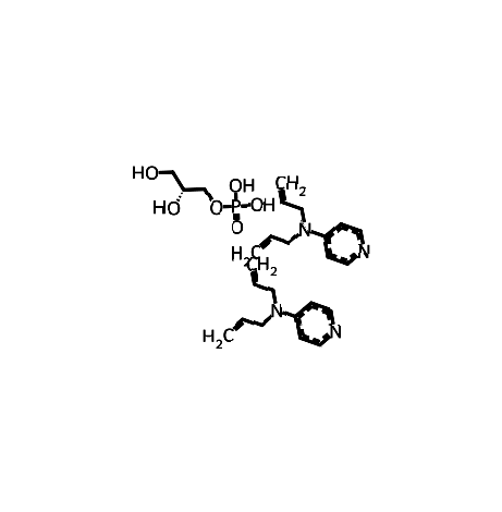 C=CCN(CC=C)c1ccncc1.C=CCN(CC=C)c1ccncc1.O=P(O)(O)OC[C@H](O)CO